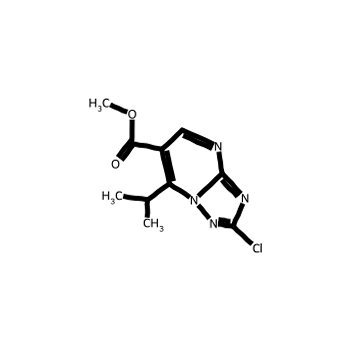 COC(=O)c1cnc2nc(Cl)nn2c1C(C)C